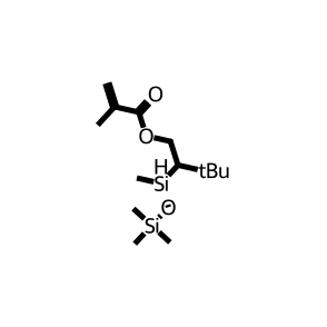 C=C(C)C(=O)OCC([SiH](C)O[Si](C)(C)C)C(C)(C)C